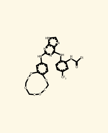 CCC(=O)Nc1cc(C(F)(F)F)ccc1Nc1nc(Nc2ccc3c(c2)OCCOCCOCCO3)nc2[nH]cnc12